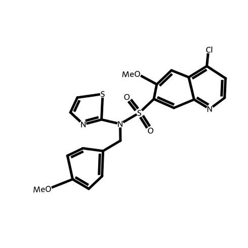 COc1ccc(CN(c2nccs2)S(=O)(=O)c2cc3nccc(Cl)c3cc2OC)cc1